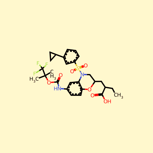 CCC(CC1CN(S(=O)(=O)c2cccc(C3CC3)c2)c2cc(NC(=O)OC(C)(C)C(F)(F)F)ccc2O1)C(=O)O